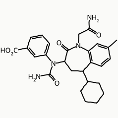 Cc1ccc2c(c1)N(CC(N)=O)C(=O)C(N(C(N)=O)c1cccc(C(=O)O)c1)CC2C1CCCCC1